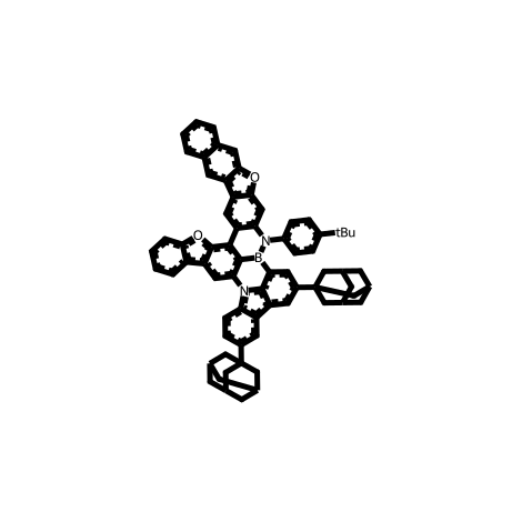 CC(C)(C)c1ccc(N2B3c4c(cc5c(oc6ccccc65)c4-c4cc5c(cc42)oc2cc4ccccc4cc25)-n2c4ccc(C56CC7CC(CC(C7)C5)C6)cc4c4cc(C56CC7CC(CC(C7)C5)C6)cc3c42)cc1